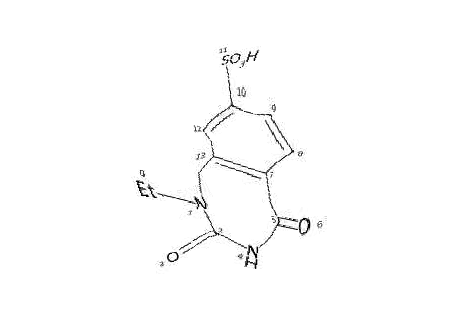 CCn1c(=O)[nH]c(=O)c2ccc(S(=O)(=O)O)cc21